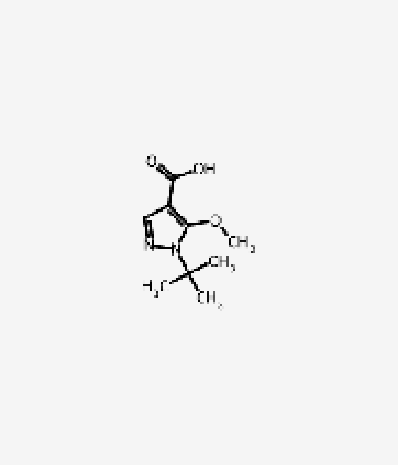 COc1c(C(=O)O)cnn1C(C)(C)C